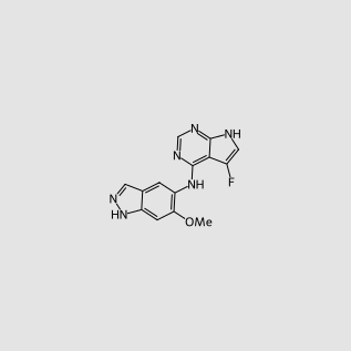 COc1cc2[nH]ncc2cc1Nc1ncnc2[nH]cc(F)c12